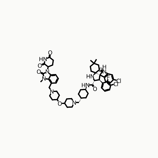 Cn1c(=O)n(C2CCC(=O)NC2=O)c2cccc(CN3CCC(OC4CCN(C[C@H]5CC[C@H](NC(=O)[C@@H]6NC7(CCC(C)(C)CC7)[C@@]7(C(=O)Nc8cc(Cl)ccc87)[C@H]6c6cccc(Cl)c6F)CC5)CC4)CC3)c21